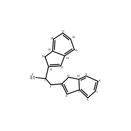 CCC(CC1=Cc2ccccc2[CH]1)C1=Cc2ccccc2[CH]1